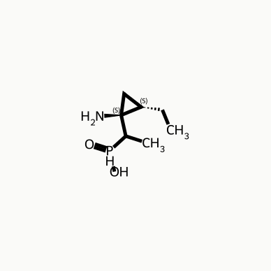 CC[C@H]1C[C@@]1(N)C(C)[PH](=O)O